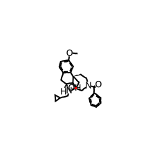 COc1ccc2c(c1)[C@@]13CCN(C(=O)c4ccccc4)CC[C@@]1(O)[C@@H](C2)N(CC1CC1)CC3